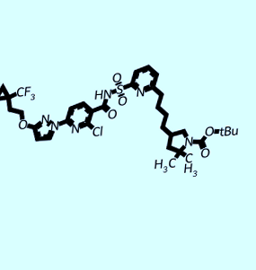 CC(C)(C)OC(=O)N1CC(CCCCc2cccc(S(=O)(=O)NC(=O)c3ccc(-n4ccc(OCCC5(C(F)(F)F)CC5)n4)nc3Cl)n2)CC1(C)C